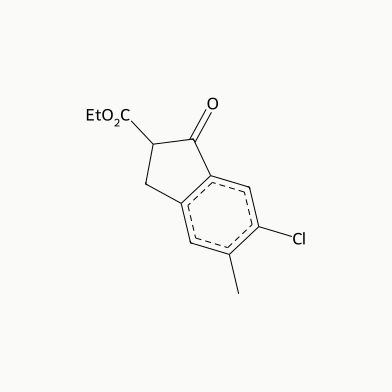 CCOC(=O)C1Cc2cc(C)c(Cl)cc2C1=O